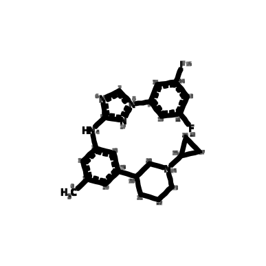 Cc1cc(Nc2ncn(-c3cc(F)cc(F)c3)n2)cc(C2CCCN(C3CC3)C2)c1